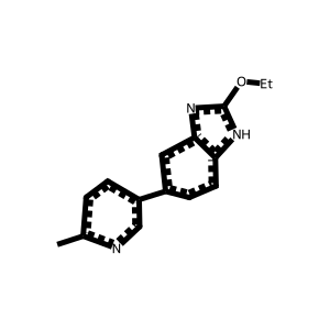 CCOc1nc2cc(-c3ccc(C)nc3)ccc2[nH]1